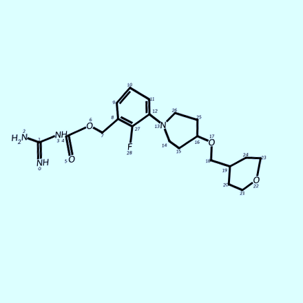 N=C(N)NC(=O)OCc1cccc(N2CCC(OCC3CCOCC3)CC2)c1F